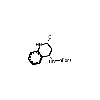 CCCCCN[C@H]1C[C@@H](C)Nc2ccccc21